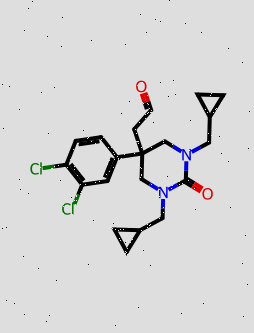 O=CCC1(c2ccc(Cl)c(Cl)c2)CN(CC2CC2)C(=O)N(CC2CC2)C1